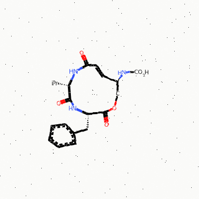 CC(C)[C@@H]1NC(=O)/C=C/[C@@H](NC(=O)O)COC(=O)[C@H](Cc2ccccc2)NC1=O